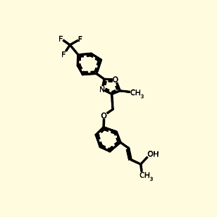 Cc1oc(-c2ccc(C(F)(F)F)cc2)nc1COc1cccc(C=CC(C)O)c1